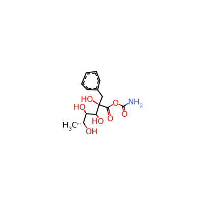 C[C@@H](O)[C@@H](O)[C@H](O)[C@](O)(Cc1ccccc1)C(=O)OC(N)=O